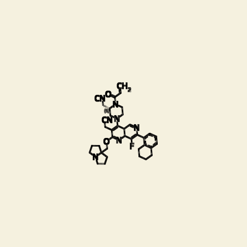 C=CC(=O)N1CCN(C2=C(CC#N)C(OCC34CCCN3CCC4)=NC3C(F)=C(c4cccc5c4CCCC5)N=CC23)C[C@@H]1CC#N